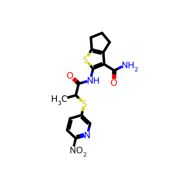 CC(Sc1ccc([N+](=O)[O-])nc1)C(=O)Nc1sc2c(c1C(N)=O)CCC2